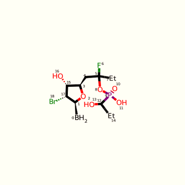 B[C@@H]1O[C@H](CC(F)(CC)OP(=O)(O)C(O)CC)[C@@H](O)[C@H]1Br